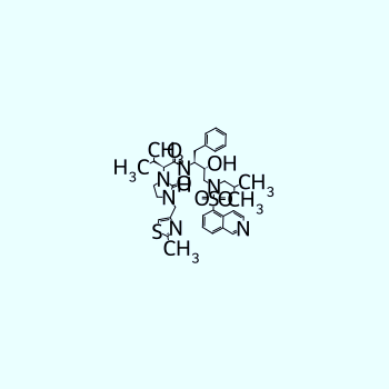 Cc1nc(CN2CCN([C@H](C(=O)N[C@@H](Cc3ccccc3)[C@H](O)CN(CC(C)C)S(=O)(=O)c3cccc4cnccc34)C(C)C)C2=O)cs1